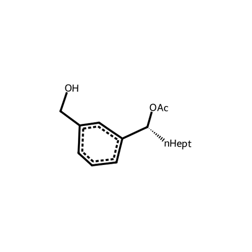 CCCCCCC[C@@H](OC(C)=O)c1cccc(CO)c1